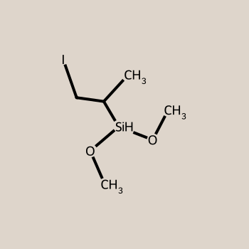 CO[SiH](OC)C(C)CI